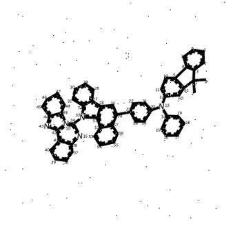 CC1(C)c2ccccc2-c2ccc(N(c3ccccc3)c3ccc(-c4cc5c6ccccc6n(-c6nc7ccccc7c7nc8ccccc8n67)c5c5ccccc45)cc3)cc21